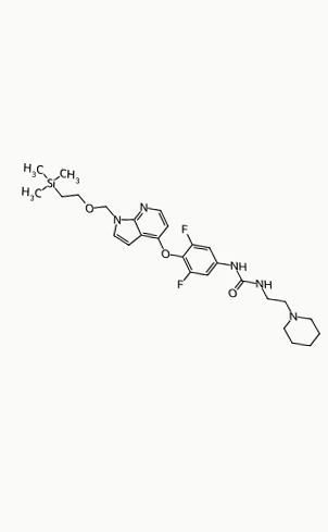 C[Si](C)(C)CCOCn1ccc2c(Oc3c(F)cc(NC(=O)NCCN4CCCCC4)cc3F)ccnc21